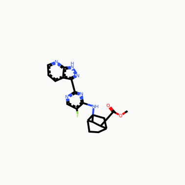 COC(=O)C1C2CCC(CC2)C1Nc1nc(-c2n[nH]c3ncccc23)ncc1F